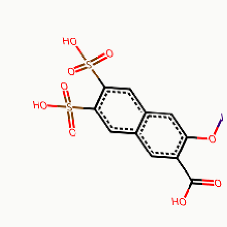 O=C(O)c1cc2cc(S(=O)(=O)O)c(S(=O)(=O)O)cc2cc1OI